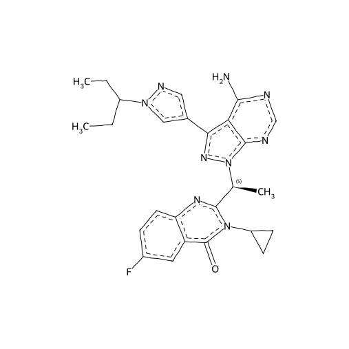 CCC(CC)n1cc(-c2nn([C@@H](C)c3nc4ccc(F)cc4c(=O)n3C3CC3)c3ncnc(N)c23)cn1